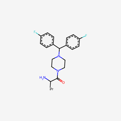 CC(C)C(N)C(=O)N1CCN(C(c2ccc(F)cc2)c2ccc(F)cc2)CC1